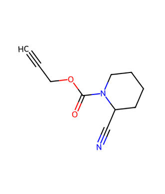 C#CCOC(=O)N1CCCCC1C#N